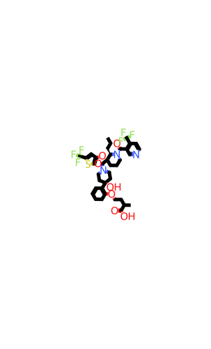 CCC[C@H]1N(C(=O)c2cnccc2C(F)(F)F)CCC[C@@]1(Oc1csc(C(F)(F)F)c1)C(=O)N1CCC(O)(C2=C(OCCC(C)C(=O)O)CCC=C2)CC1